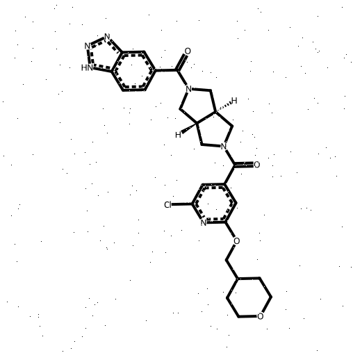 O=C(c1cc(Cl)nc(OCC2CCOCC2)c1)N1C[C@@H]2CN(C(=O)c3ccc4[nH]nnc4c3)C[C@H]2C1